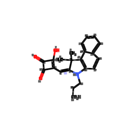 CC1(C)/C(=C\c2c(O)c(=O)c2=O)N(CCC(=O)O)c2ccc3ccccc3c21